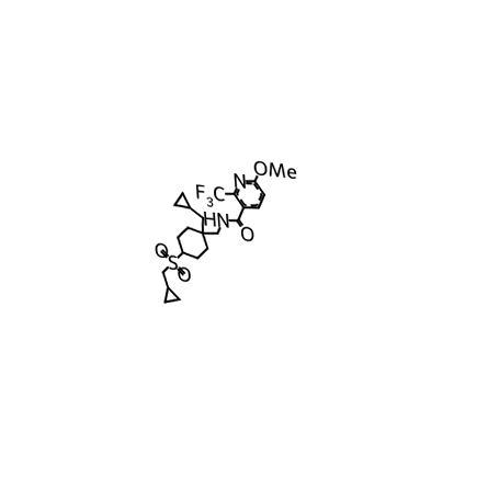 COc1ccc(C(=O)NCC2(CC3CC3)CCC(S(=O)(=O)CC3CC3)CC2)c(C(F)(F)F)n1